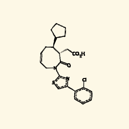 O=C(O)C[C@@H]1C(=O)N(c2nc(-c3ccccc3Cl)cs2)CC=CC[C@H]1C1CCCC1